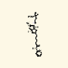 CCCC[C@](C)(O)C/C=C/[C@@H]1[C@H]2CC(CCCCC(=O)Nc3ccccn3)=C[C@H]2C[C@H]1O